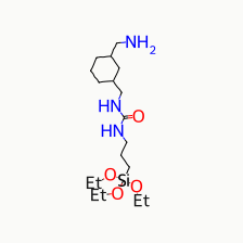 CCO[Si](CCCNC(=O)NCC1CCCC(CN)C1)(OCC)OCC